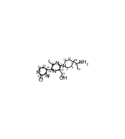 Cc1nc(N2CCC(C)(C(C)N)CC2)c(CO)nc1-c1ccnc(Cl)c1F